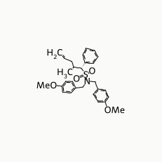 C=CC[C@H](C)[C@H](c1ccccc1)S(=O)(=O)N(Cc1ccc(OC)cc1)Cc1ccc(OC)cc1